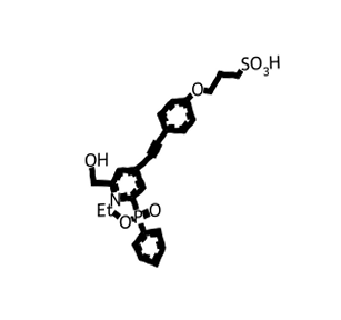 CCOP(=O)(c1ccccc1)c1cc(C#Cc2ccc(OCCCS(=O)(=O)O)cc2)cc(CO)n1